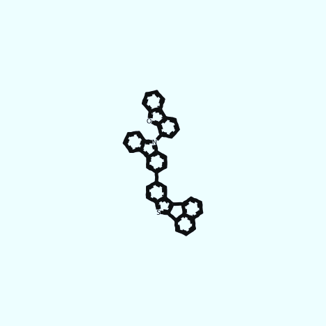 c1cc2c3c(cccc3c1)-c1c-2sc2ccc(-c3ccc4c(c3)c3ccccc3n4-c3cccc4c3oc3ccccc34)cc12